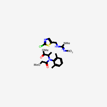 CN/C(=N\[N+](=O)[O-])NCc1cnc(Cl)s1.COCC(=O)N(c1c(C)cccc1C)C(C)C(=O)OC